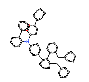 c1ccc(Cc2ccccc2-c2c(Cc3ccccc3)cccc2-c2ccc(N(c3ccc(-c4ccccc4)cc3)c3ccccc3-c3ccccc3)cc2)cc1